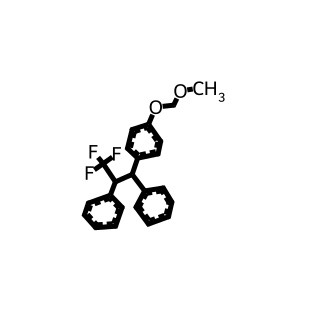 COCOc1ccc(C(c2ccccc2)C(c2ccccc2)C(F)(F)F)cc1